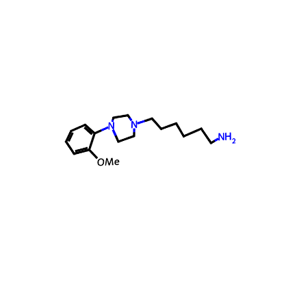 COc1ccccc1N1CCN(CCCCCCN)CC1